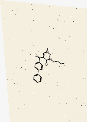 CCCCNC(=O)C(=CN(C)C)C(=O)c1ccc(-c2ccccc2)cc1